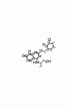 C[C@H](CO)Nc1nc(SCc2cccc(Cl)c2F)nc2[nH]c(=O)cnc12